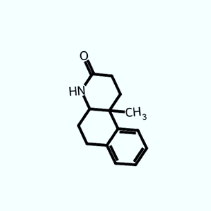 CC12CCC(=O)NC1CCc1ccccc12